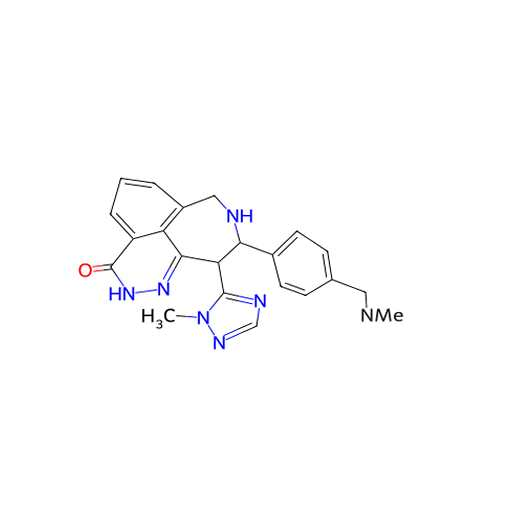 CNCc1ccc(C2NCc3cccc4c(=O)[nH]nc(c34)C2c2ncnn2C)cc1